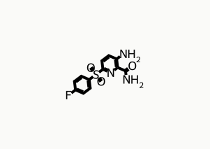 NC(=O)c1nc(S(=O)(=O)c2ccc(F)cc2)ccc1N